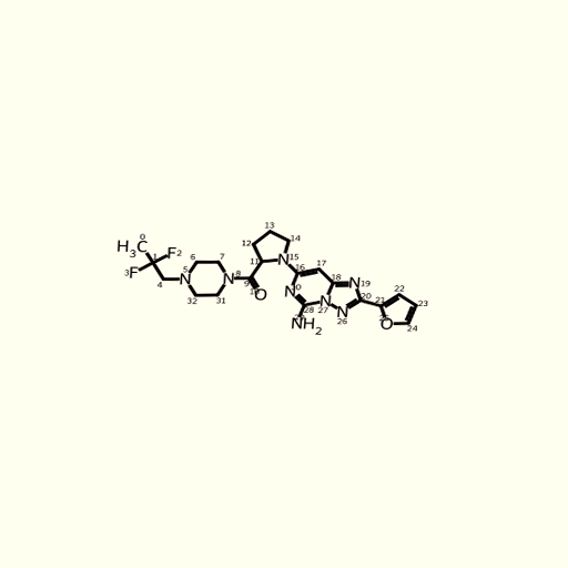 CC(F)(F)CN1CCN(C(=O)C2CCCN2c2cc3nc(-c4ccco4)nn3c(N)n2)CC1